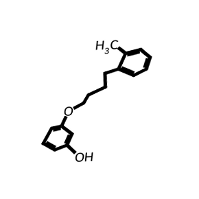 Cc1ccccc1CCCCOc1cccc(O)c1